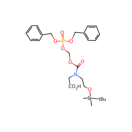 CC(C)(C)[Si](C)(C)OCCN(CC(=O)O)C(=O)OCOP(=O)(OCc1ccccc1)OCc1ccccc1